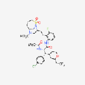 COC(=O)N[C@H](C(=O)Nc1cccc(F)c1CCC1CN(C(=O)O)C2CCCS(=O)(=O)N1C2)[C@@H](c1ccc(Cl)cc1)[C@H]1CCO[C@@H](CC(F)(F)F)C1